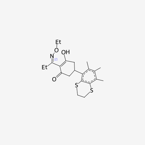 CCO/N=C(/CC)C1=C(O)CC(c2c(C)c(C)c(C)c3c2SCCS3)CC1=O